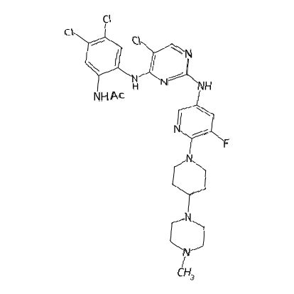 CC(=O)Nc1cc(Cl)c(Cl)cc1Nc1nc(Nc2cnc(N3CCC(N4CCN(C)CC4)CC3)c(F)c2)ncc1Cl